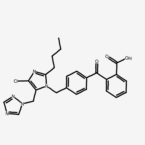 CCCCc1nc(Cl)c(Cn2cncn2)n1Cc1ccc(C(=O)c2ccccc2C(=O)O)cc1